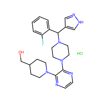 Cl.OCC1CCN(c2nccnc2N2CCN(C(c3cn[nH]c3)c3ccccc3F)CC2)CC1